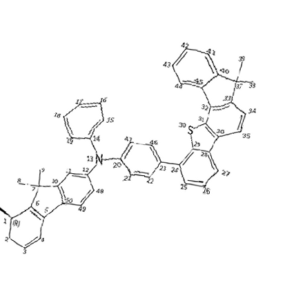 C[C@@H]1CC=CC2=C1C(C)(C)c1cc(N(c3ccccc3)c3ccc(-c4cccc5c4sc4c6c(ccc45)C(C)(C)c4ccccc4-6)cc3)ccc12